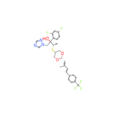 CC(/C=C/c1ccc(C(F)(F)F)cc1)=C\[C@H]1OC[C@H](S[C@H](C)[C@](O)(Cn2cncn2)c2ccc(F)cc2F)CO1